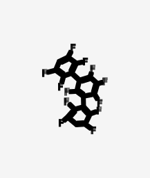 Fc1cc(F)c(F)c(-c2c(F)c(F)c(F)c(-c3c(F)c(F)cc(F)c3F)c2F)c1F